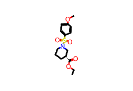 CCOC(=O)[C@@H]1CCCN(S(=O)(=O)c2ccc(OC)cc2)C1